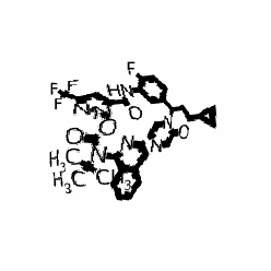 CC(C)(C)N(C(=O)On1nc(C(F)(F)F)cc1C(=O)Nc1cc(C(CCC2CC2)n2ccncc2=O)ccc1F)c1nccc2ccccc12